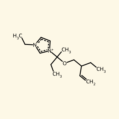 C=CC(CC)COC(C)(CC)[n+]1ccn(CC)c1